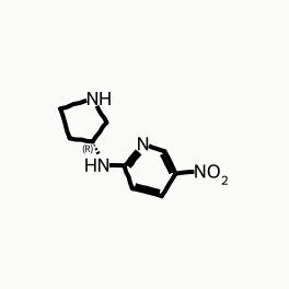 O=[N+]([O-])c1ccc(N[C@@H]2CCNC2)nc1